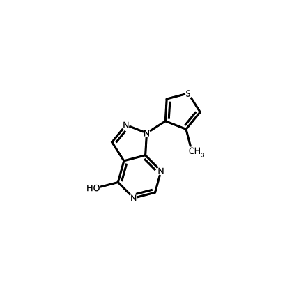 Cc1cscc1-n1ncc2c(O)ncnc21